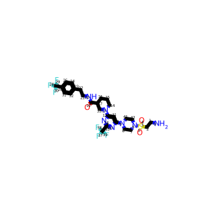 NCCS(=O)(=O)N1CCN(c2cc(N3CCCC(C(=O)NCCc4ccc(C(F)(F)F)cc4)C3)nc(C(F)(F)F)n2)CC1